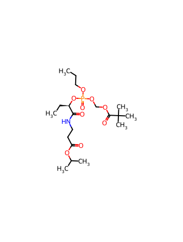 CCCOP(=O)(OCOC(=O)C(C)(C)C)O[C@H](CC)C(=O)NCCC(=O)OC(C)C